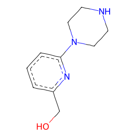 OCc1cccc(N2CCNCC2)n1